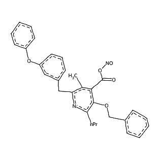 CCCc1nc(Cc2cccc(Oc3ccccc3)c2)c(C)c(C(=O)ON=O)c1OCc1ccccc1